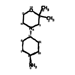 CC1(C)CN([C@H]2CC[C@H](N)CC2)CCO1